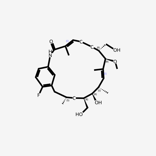 CO[C@H]1/C(C)=C/[C@H](C)[C@@H](O)[C@@H](CO)C[C@H](C)Cc2cc(ccc2F)NC(=O)/C(C)=C/CC[C@@H]1CO